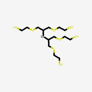 SCCSCC(CSCCS)[Se]C(CSCCS)CSCCS